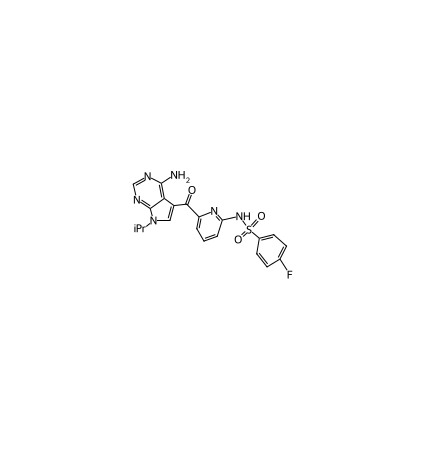 CC(C)n1cc(C(=O)c2cccc(NS(=O)(=O)c3ccc(F)cc3)n2)c2c(N)ncnc21